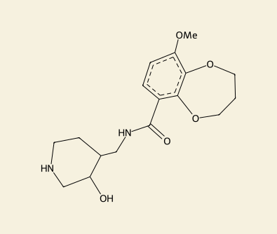 COc1ccc(C(=O)NCC2CCNCC2O)c2c1OCCCO2